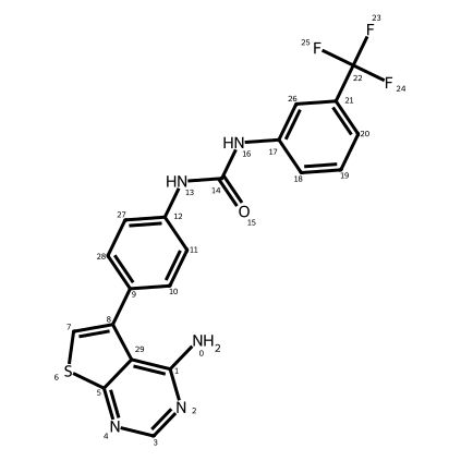 Nc1ncnc2scc(-c3ccc(NC(=O)Nc4cccc(C(F)(F)F)c4)cc3)c12